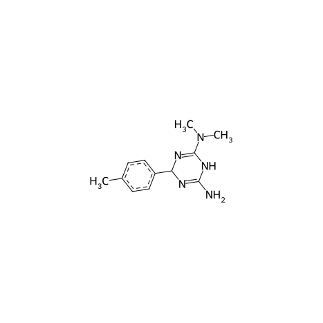 Cc1ccc(C2N=C(N)NC(N(C)C)=N2)cc1